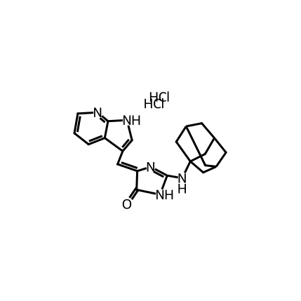 Cl.Cl.O=C1NC(NC23CC4CC(CC(C4)C2)C3)=N/C1=C\c1c[nH]c2ncccc12